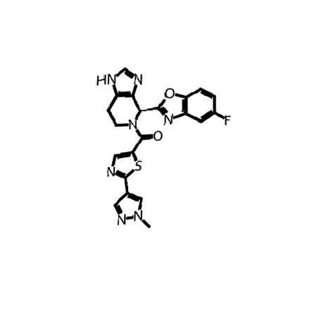 Cn1cc(-c2ncc(C(=O)N3CCc4[nH]cnc4[C@H]3c3nc4cc(F)ccc4o3)s2)cn1